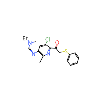 CCN(C)/C=N\c1cc(Cl)c(C(=O)CSc2ccccc2)nc1C